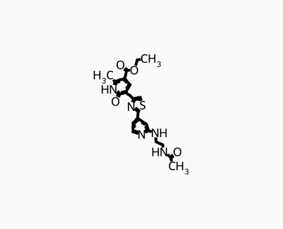 CCOC(=O)c1cc(-c2csc(-c3ccnc(NCCNC(C)=O)c3)n2)c(=O)[nH]c1C